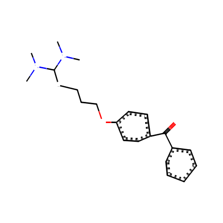 CN(C)C([SiH2]CCCOc1ccc(C(=O)c2ccccc2)cc1)N(C)C